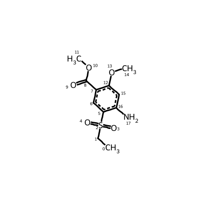 CCS(=O)(=O)c1cc(C(=O)OC)c(OC)cc1N